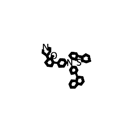 c1ccc2c(-c3ccc(N(c4ccc(-c5cccc6c5oc5cnccc56)cc4)c4cccc5c4sc4ccccc45)cc3)cccc2c1